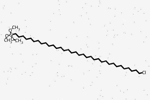 CO[Si](CCCCCCCCCCCCCCCCCCCCCCCCCCCCCCCCCCCl)(OC)OC